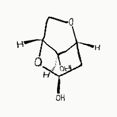 O[C@@H]1[C@H]2C[C@@H](O)O[C@@H]1CO2